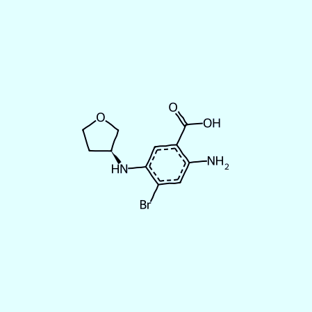 Nc1cc(Br)c(N[C@H]2CCOC2)cc1C(=O)O